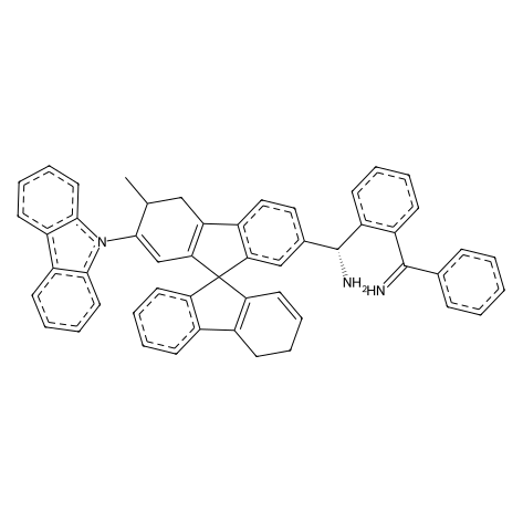 CC1CC2=C(C=C1n1c3ccccc3c3ccccc31)C1(C3=C(CCC=C3)c3ccccc31)c1cc([C@@H](N)c3ccccc3C(=N)c3ccccc3)ccc12